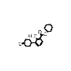 Cc1c(C(=O)OC2CCCCC2)cccc1C1CCC(=O)CC1